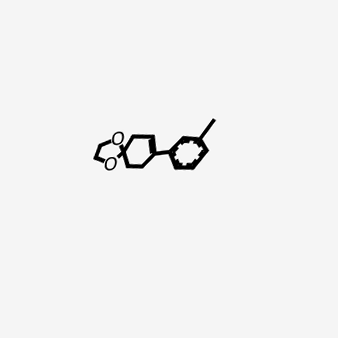 Cc1cccc(C2=CCC3(CC2)OCCO3)c1